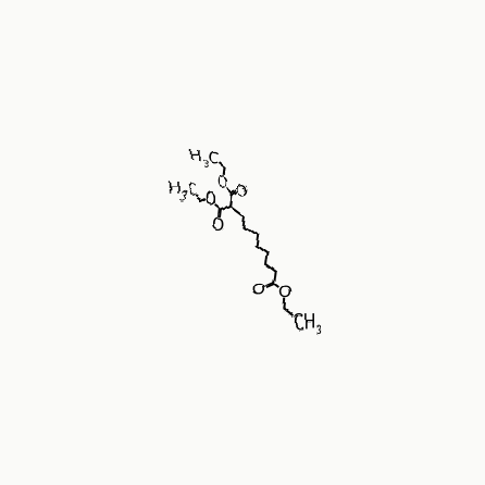 CCOC(=O)CCCCCCCC(C(=O)OCC)C(=O)OCC